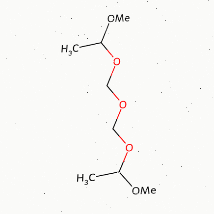 COC(C)OCOCOC(C)OC